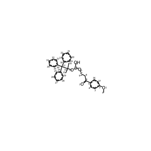 COc1ccc(C(=O)CSOB(O)OC(C)(C)C(c2ccccc2)(c2ccccc2)c2ccccc2)cc1